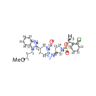 COCCCn1c([C@@H]2CCCN(C(=O)[C@@H]3CN(S(=O)(=O)c4cccc(Cl)c4C)C[C@H]3N)C2)nc2ccccc21